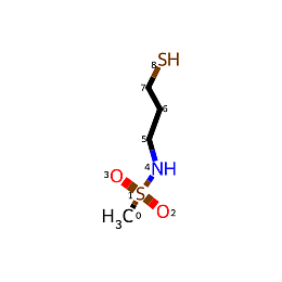 CS(=O)(=O)NCCCS